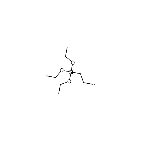 [CH2]CC[Si](OCC)(OCC)OCC